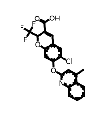 Cc1cc(Oc2cc3c(cc2Cl)C=C(C(=O)O)C(C(F)(F)F)O3)nc2ccccc12